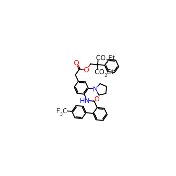 CCOC(=O)C(COC(=O)Cc1ccc(NC(=O)c2ccccc2-c2ccc(C(F)(F)F)cc2)c(N2CCCC2)c1)(C(=O)OCC)c1ccccc1